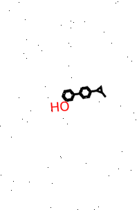 CC1CC1c1ccc(-c2cccc(O)c2)cc1